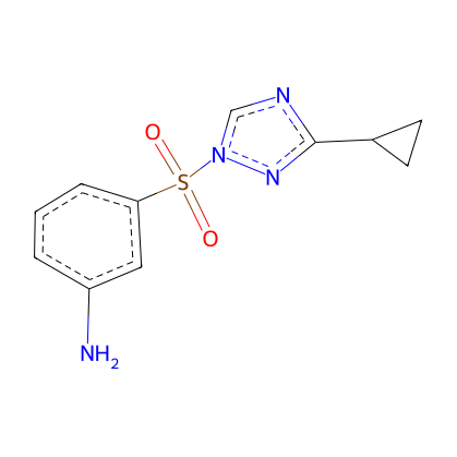 Nc1cccc(S(=O)(=O)n2cnc(C3CC3)n2)c1